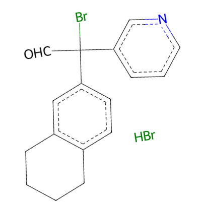 Br.O=CC(Br)(c1cccnc1)c1ccc2c(c1)CCCC2